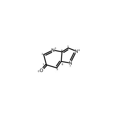 O=C1C=NC2=CN=NC2=C1